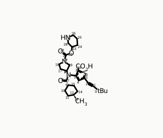 CC(C)(C)C#Cc1cc(N(C(=O)[C@H]2CC[C@H](C)CC2)[C@@H]2CCN(C(=O)OC3CCCNC3)C2)c(C(=O)O)s1